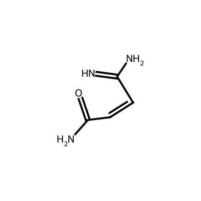 N=C(N)/C=C\C(N)=O